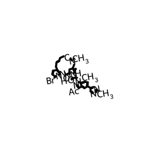 CC(=O)c1nn(CC(=O)N2[C@H]3C[C@]4(C[C@@H]24)CN(C)CCCC/C=C/Cc2ccc(Br)nc2NC3=O)c2c(C)cc(-c3cnc(C)nc3)cc12